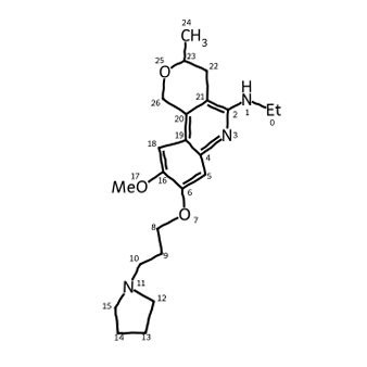 CCNc1nc2cc(OCCCN3CCCC3)c(OC)cc2c2c1CC(C)OC2